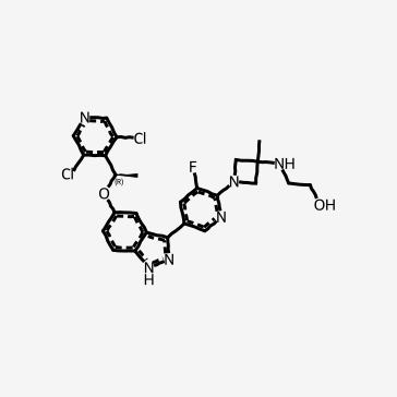 C[C@@H](Oc1ccc2[nH]nc(-c3cnc(N4CC(C)(NCCO)C4)c(F)c3)c2c1)c1c(Cl)cncc1Cl